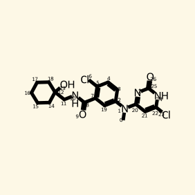 CN(c1ccc(Cl)c(C(=O)NCC2(O)CCCCC2)c1)c1cc(Cl)[nH]c(=O)n1